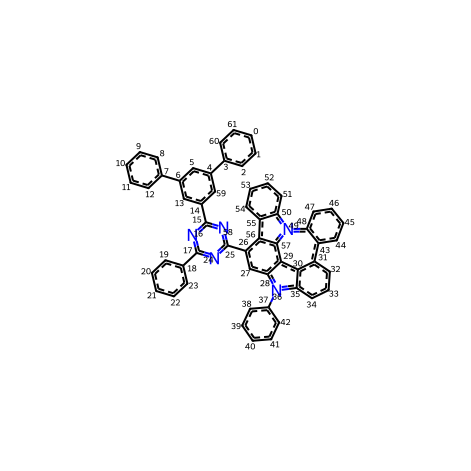 c1ccc(-c2cc(-c3ccccc3)cc(-c3nc(-c4ccccc4)nc(-c4cc5c6c7c(cccc7n5-c5ccccc5)c5ccccc5n5c7ccccc7c4c65)n3)c2)cc1